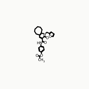 CC(=O)Oc1ccc(NC(=O)c2cc3c(n(Cc4ccco4)c2=O)CCCCCC3)cc1